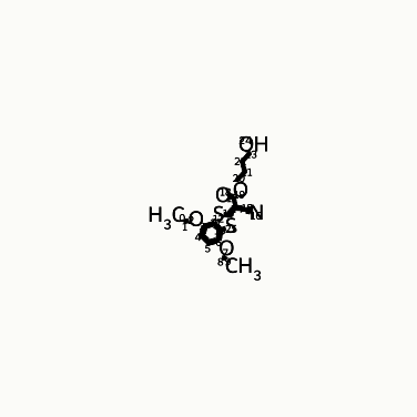 CCOc1ccc(OCC)c2c1SC(=C(C#N)C(=O)OCCCCO)S2